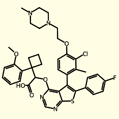 COc1ccccc1C1(C(Oc2ncnc3sc(-c4ccc(F)cc4)c(-c4ccc(OCCN5CCN(C)CC5)c(Cl)c4C)c23)C(=O)O)CCC1